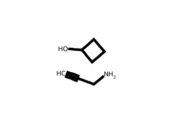 C#CCN.OC1CCC1